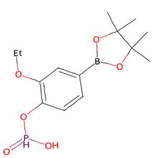 CCOc1cc(B2OC(C)(C)C(C)(C)O2)ccc1O[PH](=O)O